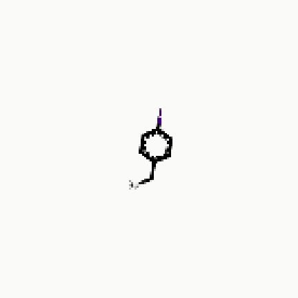 CCC(C)Cc1ccc(I)cc1